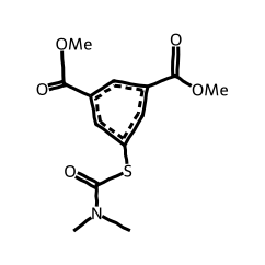 COC(=O)c1cc(SC(=O)N(C)C)cc(C(=O)OC)c1